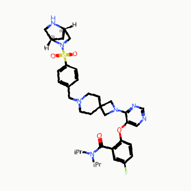 CC(C)N(C(=O)c1cc(F)ccc1Oc1cncnc1N1CC2(CCN(Cc3ccc(S(=O)(=O)N4C[C@@H]5C[C@H]4CN5)cc3)CC2)C1)C(C)C